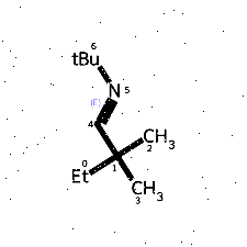 CCC(C)(C)/C=N/C(C)(C)C